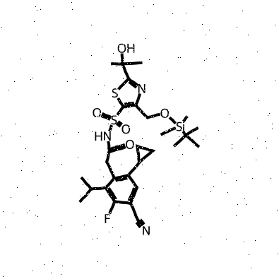 CC(C)c1c(F)c(C#N)cc(C2CC2)c1CC(=O)NS(=O)(=O)c1sc(C(C)(C)O)nc1CO[Si](C)(C)C(C)(C)C